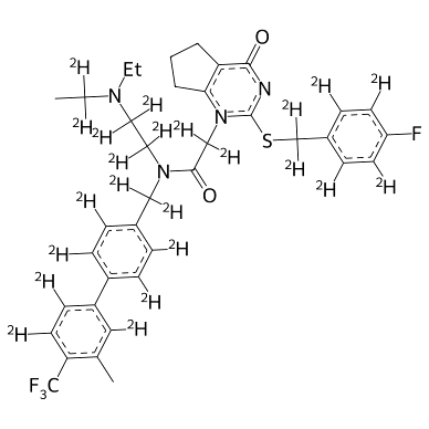 [2H]c1c([2H])c(C([2H])([2H])Sc2nc(=O)c3c(n2C([2H])([2H])C(=O)N(C([2H])([2H])c2c([2H])c([2H])c(-c4c([2H])c([2H])c(C(F)(F)F)c(C)c4[2H])c([2H])c2[2H])C([2H])([2H])C([2H])([2H])N(CC)C([2H])([2H])C)CCC3)c([2H])c([2H])c1F